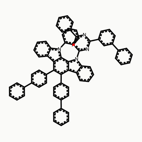 c1ccc(-c2ccc(-c3c(-c4ccc(-c5ccccc5)cc4)c4c5ccccc5n(-c5nc(-c6ccccc6)nc(-c6cccc(-c7ccccc7)c6)n5)c4c4c3c3ccccc3n4-c3ccccc3)cc2)cc1